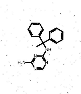 CC(Nc1ncnc(N)n1)(c1ccccc1)c1ccccc1